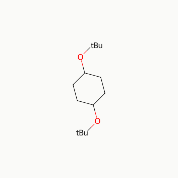 CC(C)(C)OC1CCC(OC(C)(C)C)CC1